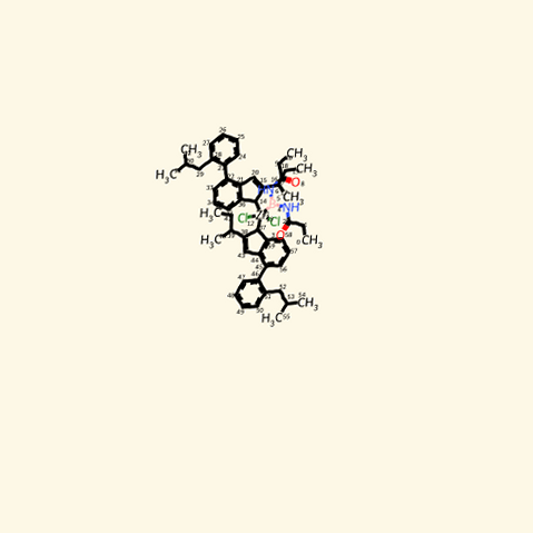 CCC(=O)N[B](NC(=O)CC)[Zr]([Cl])([Cl])([CH]1C(C(C)CC)=Cc2c(-c3ccccc3CC(C)C)cccc21)[CH]1C(C(C)CC)=Cc2c(-c3ccccc3CC(C)C)cccc21